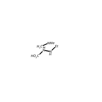 CCNNC(=O)O.CNC